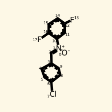 [O-][N+](=Cc1ccc(Cl)cc1)c1cc(F)ccc1F